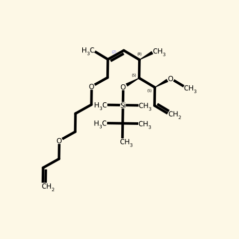 C=CCOCCCOC/C(C)=C\[C@@H](C)[C@H](O[Si](C)(C)C(C)(C)C)[C@H](C=C)OC